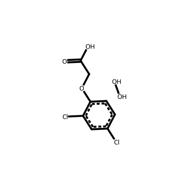 O=C(O)COc1ccc(Cl)cc1Cl.OO